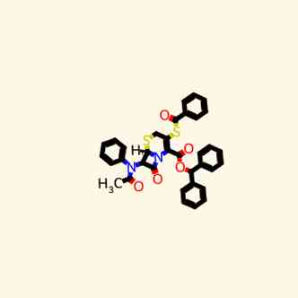 CC(=O)N(c1ccccc1)C1C(=O)N2C(C(=O)OC(c3ccccc3)c3ccccc3)=C(SC(=O)c3ccccc3)CS[C@@H]12